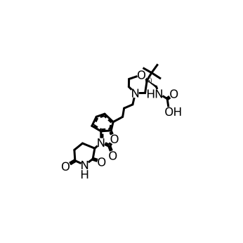 CC(C)(C)[C@]1(CNC(=O)O)CN(CCCc2cccc3c2oc(=O)n3C2CCC(=O)NC2=O)CCO1